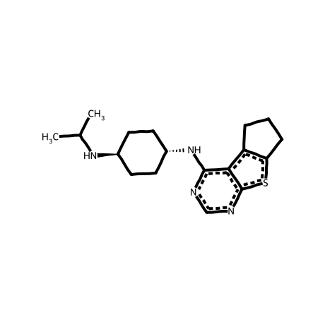 CC(C)N[C@H]1CC[C@H](Nc2ncnc3sc4c(c23)CCC4)CC1